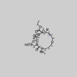 CCOC(=O)[C@@]12C[C@H]1/C=C\COCCC[C@H](N)C(=O)N1C[C@H](O)C[C@H]1C(=O)N2